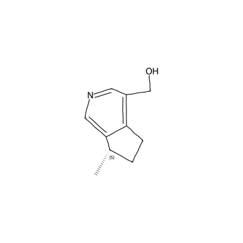 C[C@H]1CCc2c(CO)cncc21